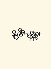 CC1(C)C2CCC1(CS(=O)(=O)OCCOC(=O)C(F)(F)S(=O)(=O)O)C(=O)C2